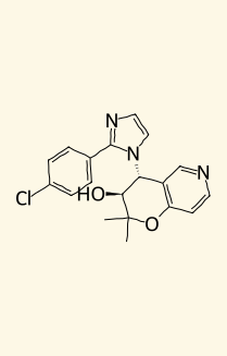 CC1(C)Oc2ccncc2[C@@H](n2ccnc2-c2ccc(Cl)cc2)[C@@H]1O